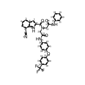 N#Cc1cccc2cc(C(=O)N(CC(=O)Nc3ccccc3)CC(=O)Nc3ccc(Oc4ccc(C(F)(F)F)cc4)cc3)[nH]c12